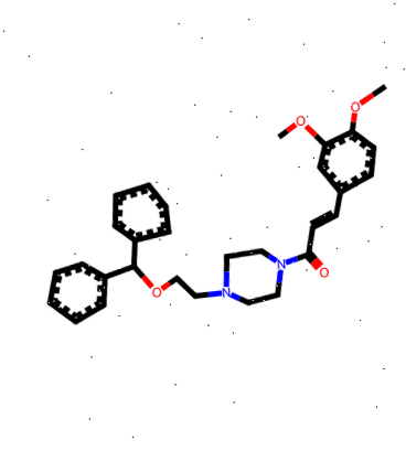 COc1ccc(C=CC(=O)N2CCN(CCOC(c3ccccc3)c3ccccc3)CC2)cc1OC